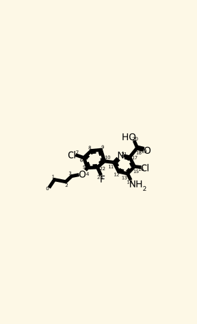 CCCCOc1c(Cl)ccc(-c2cc(N)c(Cl)c(C(=O)O)n2)c1F